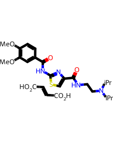 COc1ccc(C(=O)Nc2nc(C(=O)NCCN(C(C)C)C(C)C)cs2)cc1OC.O=C(O)C=CC(=O)O